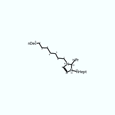 CCCCCCCCCCCCCCCCCN1C=CN(CCCCCCC)C1C(C)C